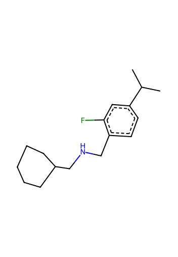 CC(C)c1ccc(CNCC2CCCCC2)c(F)c1